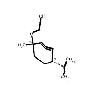 CCO[C@]1(C)C=C[C@H](C(C)C)CC1